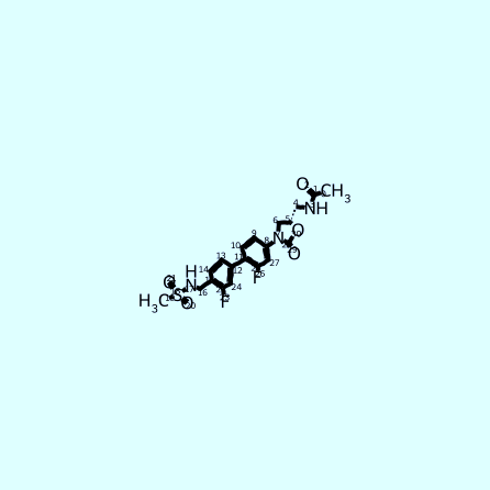 CC(=O)NC[C@H]1CN(c2ccc(-c3ccc(CNS(C)(=O)=O)c(F)c3)c(F)c2)C(=O)O1